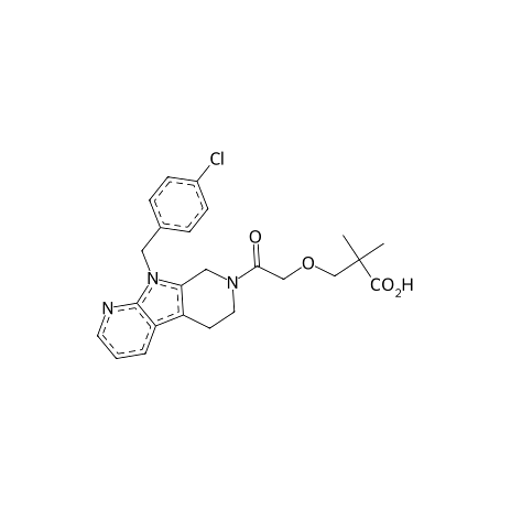 CC(C)(COCC(=O)N1CCc2c(n(Cc3ccc(Cl)cc3)c3ncccc23)C1)C(=O)O